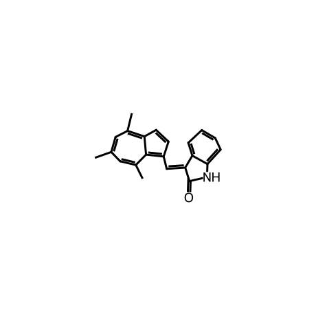 Cc1cc(C)c2ccc(/C=C3/C(=O)Nc4ccccc43)c-2c(C)c1